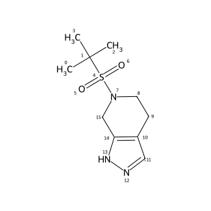 CC(C)(C)S(=O)(=O)N1CCc2[c]n[nH]c2C1